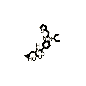 CCC(CC)n1c(Cc2cccs2)nc2cc(C(=O)NC(CC3CC3)C(=O)O)ccc21